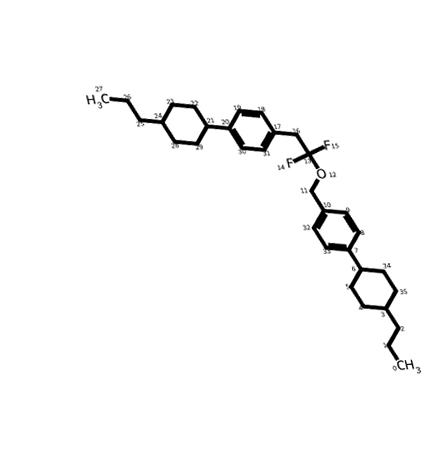 CCCC1CCC(c2ccc(COC(F)(F)Cc3ccc(C4CCC(CCC)CC4)cc3)cc2)CC1